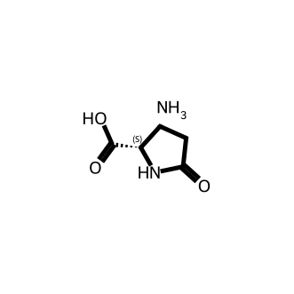 N.O=C1CC[C@@H](C(=O)O)N1